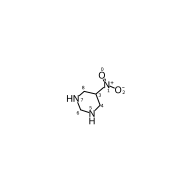 O=[N+]([O-])C1CNCNC1